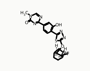 Cn1cnc(-c2ccc(-c3nnc(O[C@@H]4C5CCC(NC5)[C@H]4F)s3)c(O)c2)nc1=O